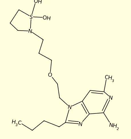 CCCCc1nc2c(N)nc(C)cc2n1CCOCCCN1CCCS1(O)O